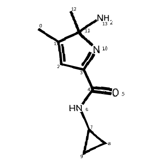 CC1=CC(C(=O)NC2CC2)=NC1(C)N